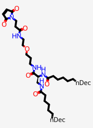 CCCCCCCCCCCCCCCC(=O)NC[C@H](NC(=O)CCCCCCCCCCCCCCC)C(=O)NCCCOCCNC(=O)CCN1C(=O)C=CC1=O